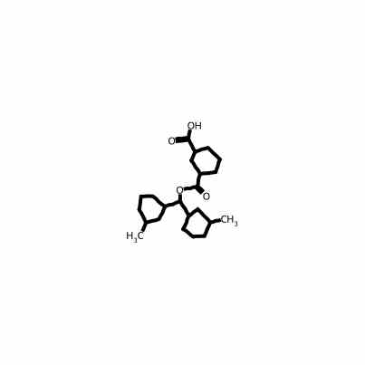 CC1CCCC(C(OC(=O)C2CCCC(C(=O)O)C2)C2CCCC(C)C2)C1